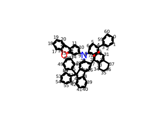 c1ccc(-c2ccc(N(c3ccc4c(c3)oc3ccccc34)c3cc4c(cc3-c3cccc5c3CCCC5)-c3ccccc3C4(c3ccccc3)c3ccccc3)cc2)cc1